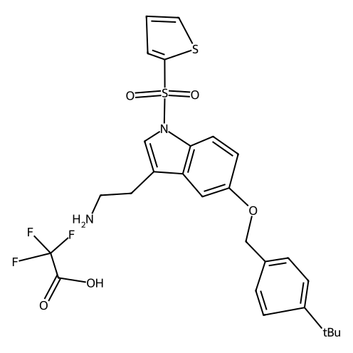 CC(C)(C)c1ccc(COc2ccc3c(c2)c(CCN)cn3S(=O)(=O)c2cccs2)cc1.O=C(O)C(F)(F)F